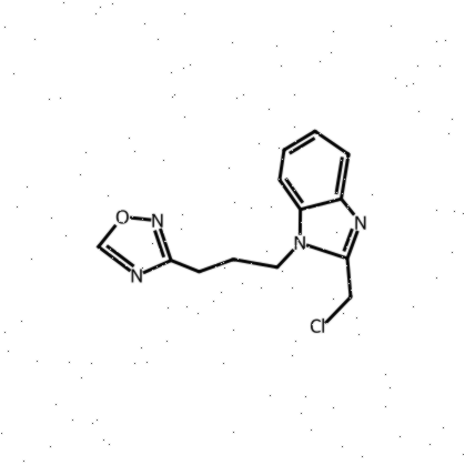 ClCc1nc2ccccc2n1CCCc1ncon1